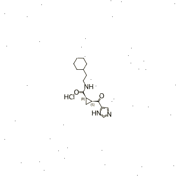 Cl.O=C(c1cnc[nH]1)[C@H]1C[C@H]1C(=O)NCCC1CCCCC1